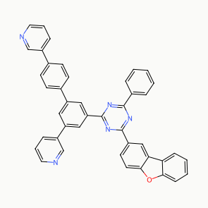 c1ccc(-c2nc(-c3cc(-c4ccc(-c5cccnc5)cc4)cc(-c4cccnc4)c3)nc(-c3ccc4oc5ccccc5c4c3)n2)cc1